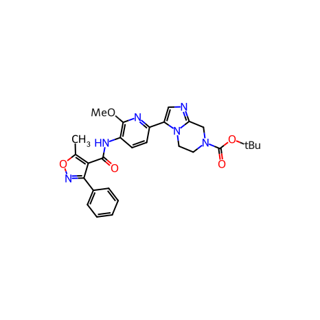 COc1nc(-c2cnc3n2CCN(C(=O)OC(C)(C)C)C3)ccc1NC(=O)c1c(-c2ccccc2)noc1C